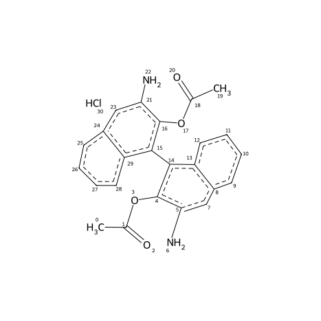 CC(=O)Oc1c(N)cc2ccccc2c1-c1c(OC(C)=O)c(N)cc2ccccc12.Cl